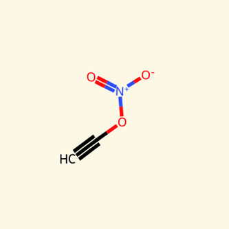 C#CO[N+](=O)[O-]